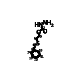 NNC(=O)OCCSSc1ccccc1